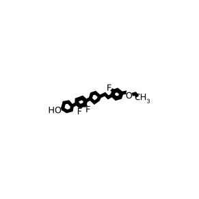 CCOCc1ccc(CCC2CCC(c3ccc(C4CCC(O)CC4)c(F)c3F)CC2)c(F)c1